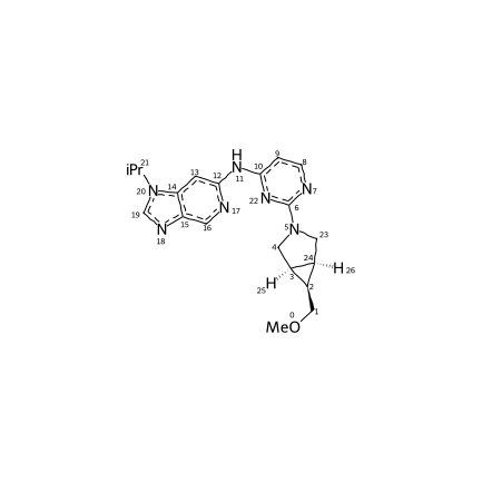 COC[C@H]1[C@H]2CN(c3nccc(Nc4cc5c(cn4)ncn5C(C)C)n3)C[C@@H]12